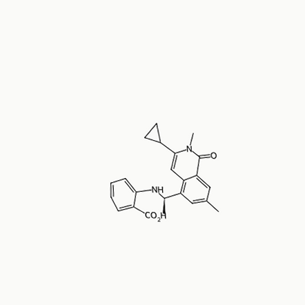 Cc1cc([C@@H](C)Nc2ccccc2C(=O)O)c2cc(C3CC3)n(C)c(=O)c2c1